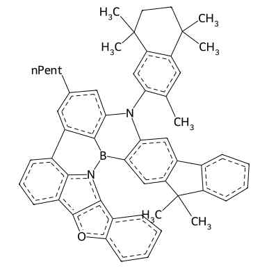 CCCCCc1cc2c3c(c1)N(c1cc4c(cc1C)C(C)(C)CCC4(C)C)c1cc4c(cc1B3n1c3c-2cccc3c2oc3ccccc3c21)C(C)(C)c1ccccc1-4